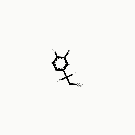 O=C(O)CC(F)(F)c1ccc(Br)c(F)c1